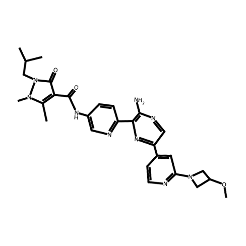 COC1CN(c2cc(-c3cnc(N)c(-c4ccc(NC(=O)c5c(C)n(C)n(CC(C)C)c5=O)cn4)n3)ccn2)C1